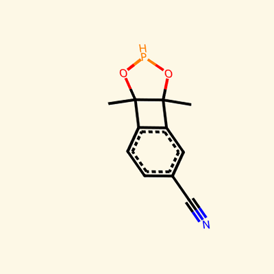 CC12OPOC1(C)c1cc(C#N)ccc12